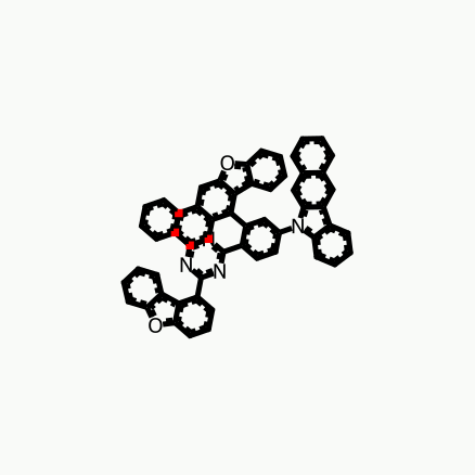 c1ccc(-c2nc(-c3ccc(-n4c5ccccc5c5cc6ccccc6cc54)cc3-c3c4ccccc4cc4oc5ccccc5c34)nc(-c3cccc4oc5ccccc5c34)n2)cc1